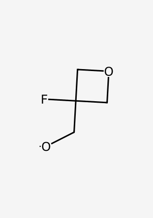 [O]CC1(F)COC1